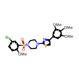 COc1ccc(Br)cc1S(=O)(=O)N1CCN(c2nc(-c3cc(OC)c(OC)c(OC)c3)cs2)CC1